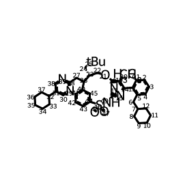 Cc1cccc(CC2CCCCC2)c1-c1nc2nc(c1C)OC[C@@H](CC(C)(C)C)C(Cc1ncc(C3CCCCC3)cn1)c1cccc(c1)S(=O)(=O)N2